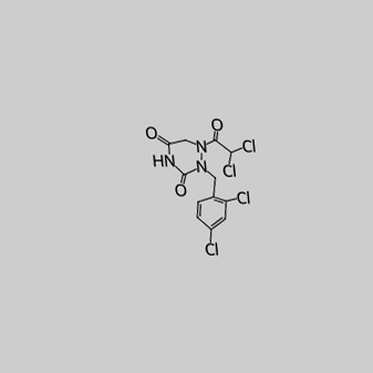 O=C1CN(C(=O)C(Cl)Cl)N(Cc2ccc(Cl)cc2Cl)C(=O)N1